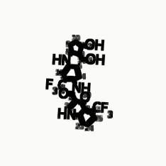 O=C(Nc1ccc(NC2CCC(O)C2CO)cc1C(F)(F)F)c1c[nH]c2cccc(C(F)(F)F)c2c1=O